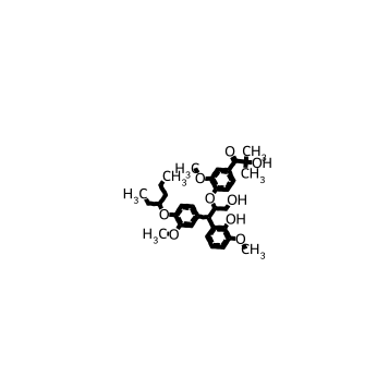 CCCC(CC)Oc1ccc(C(c2cccc(OC)c2O)C(CO)Oc2ccc(C(=O)C(C)(C)O)cc2OC)cc1OC